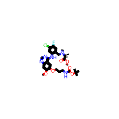 COC(=O)[C@H](C)N(C)Cc1cc(F)c(Cl)cc1Nc1ncnc2cc(OC)c(OCCCNC(=O)OC(C)(C)C)cc12